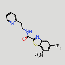 O=C(NCCc1ccccn1)c1nc2cc(C(F)(F)F)cc([N+](=O)[O-])c2s1